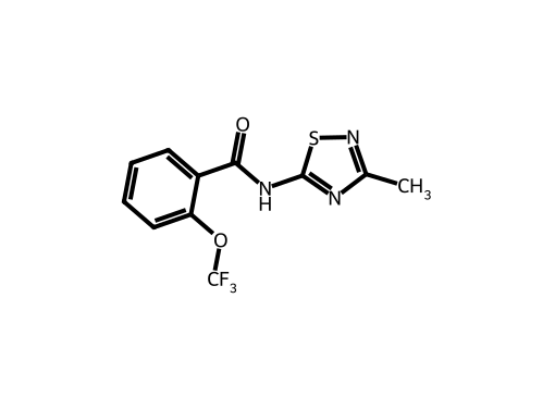 Cc1nsc(NC(=O)c2ccccc2OC(F)(F)F)n1